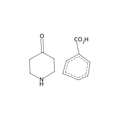 O=C(O)c1ccccc1.O=C1CCNCC1